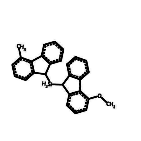 COc1cccc2c1-c1ccccc1C2[SiH2]C1c2ccccc2-c2c(C)cccc21